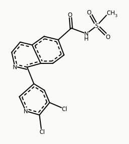 CS(=O)(=O)NC(=O)c1ccc2c(-c3cnc(Cl)c(Cl)c3)nccc2c1